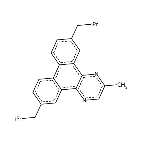 Cc1cnc2c3cc(CC(C)C)ccc3c3ccc(CC(C)C)cc3c2n1